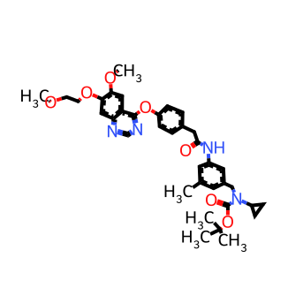 COCCOc1cc2ncnc(Oc3ccc(CC(=O)Nc4cc(C)cc(CN(C(=O)OC(C)(C)C)C5CC5)c4)cc3)c2cc1OC